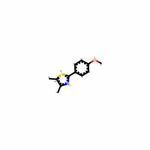 COc1ccc(-c2nc(C)c(C)s2)cc1